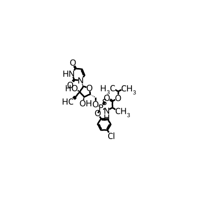 C#C[C@@]1(O)[C@H](O)[C@@H](COP(=S)(NC(C)C(=O)OC(C)C)Oc2ccc(Cl)cc2)O[C@H]1n1ccc(=O)[nH]c1=O